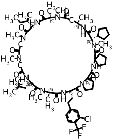 CCC(C)[C@@H]1NC(=O)[C@H](C)N(C)C(=O)C[C@@H](C)NC(=O)[C@H](C2CCCC2)N(C)C(=O)C2(CCCC2)NC(=O)[C@@H]2CCCN2C(=O)[C@H](CCc2ccc(C(F)(F)F)c(Cl)c2)NC(=O)[C@@H](C)N(C)C(=O)[C@H](CC(C)C)N(C)C(=O)CN(C)C(=O)CN(C)C1=O